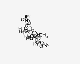 CC(C)C(=O)N1CCOC(OC2CCC34CC35CCC3(C)[C@@H]6C(OC([C@H](OC(=O)N7CCC7)C(C)C)C[C@H]6C)[C@H](O)[C@@]3(C)C5CC[C@H]4C2(C)C)C1